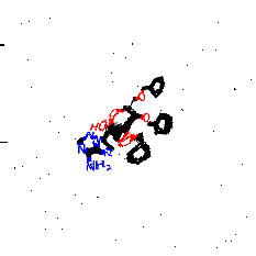 Nc1ncnn2c([C@]3(O)O[C@H](COCc4ccccc4)C(OCc4ccccc4)C3OCc3ccccc3)cnc12